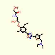 CCc1cc(-c2nc(-c3cc(C)c(CN(CC)CC)s3)no2)cc(C)c1OC[C@@H](O)CNC(=O)CO